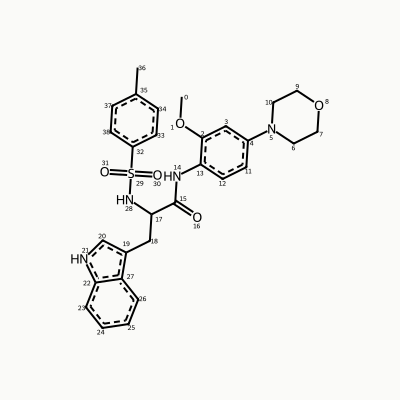 COc1cc(N2CCOCC2)ccc1NC(=O)C(Cc1c[nH]c2ccccc12)NS(=O)(=O)c1ccc(C)cc1